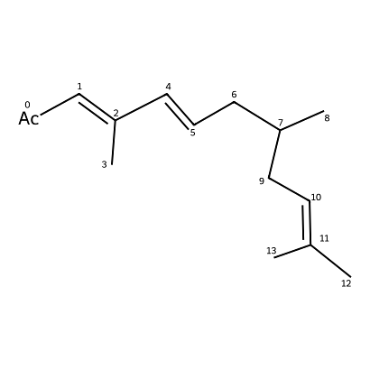 CC(=O)/C=C(C)/C=C/CC(C)CC=C(C)C